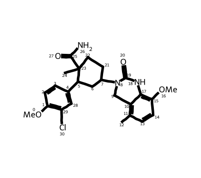 COc1ccc(C2CC(N3Cc4c(C)ccc(OC)c4NC3=O)CCC2(C)C(N)=O)cc1Cl